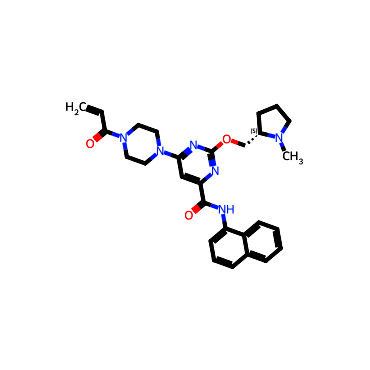 C=CC(=O)N1CCN(c2cc(C(=O)Nc3cccc4ccccc34)nc(OC[C@@H]3CCCN3C)n2)CC1